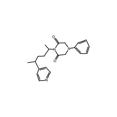 CC(CCC(C)N1C(=O)CN(c2ccccc2)CC1=O)c1ccncc1